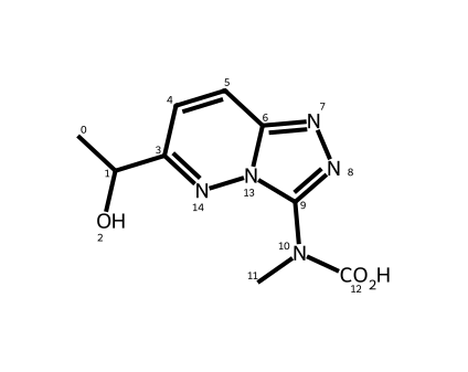 CC(O)c1ccc2nnc(N(C)C(=O)O)n2n1